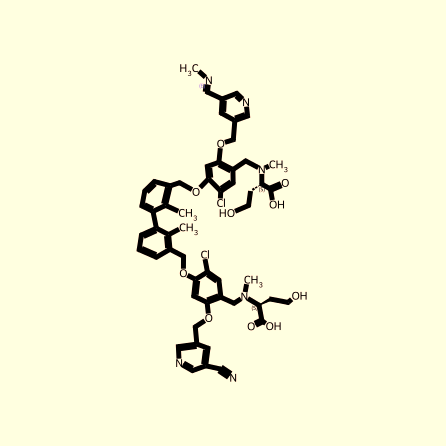 C/N=C/c1cncc(COc2cc(OCc3cccc(-c4cccc(COc5cc(OCc6cncc(C#N)c6)c(CN(C)[C@@H](CCO)C(=O)O)cc5Cl)c4C)c3C)c(Cl)cc2CN(C)[C@@H](CCO)C(=O)O)c1